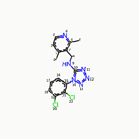 Cc1ccnc(C)c1CNc1nnnn1-c1cccc(Cl)c1Cl